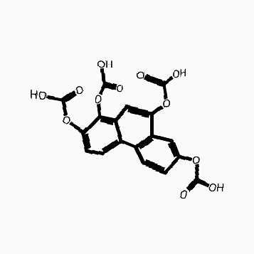 O=C(O)Oc1ccc2c(c1)c(OC(=O)O)cc1c(OC(=O)O)c(OC(=O)O)ccc12